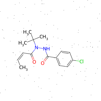 C/C=C\C(=O)N(NC(=O)c1ccc(Cl)cc1)C(C)(C)C